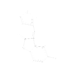 O=C1Nc2ccc(Br)cc2C1=Cc1ccco1